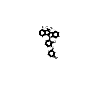 CC1(C)c2ccccc2-c2c1c1ccccc1n2-c1cccc(Oc2cccc(Br)c2)c1Cl